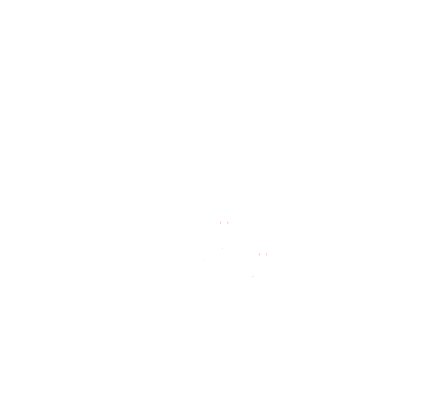 CCCCCOC(=O)C1CO1